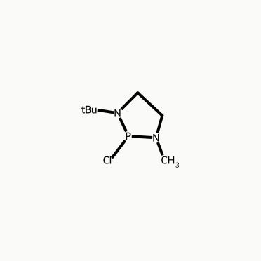 CN1CCN(C(C)(C)C)P1Cl